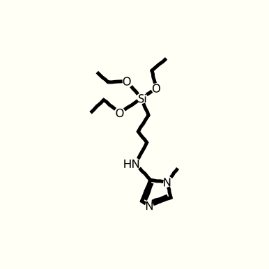 CCO[Si](CCCNc1cncn1C)(OCC)OCC